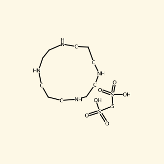 C1CNCCNCCCNCCNC1.O=S(=O)(O)SS(=O)(=O)O